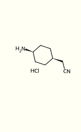 Cl.N#CC[C@H]1CC[C@@H](N)CC1